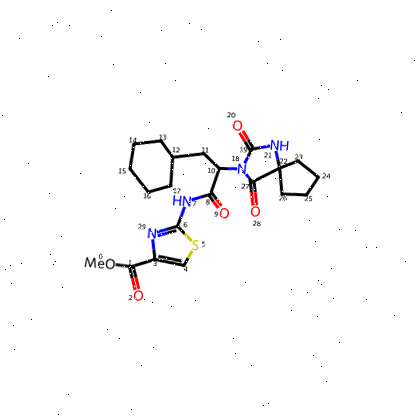 COC(=O)c1csc(NC(=O)C(CC2CCCCC2)N2C(=O)NC3(CCCC3)C2=O)n1